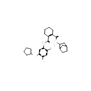 O=C(Nc1cc(OC2CCCC2)c(Cl)cc1F)C1=C(C(=O)NC2CC3CCC2C3)CCCC1